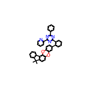 CC1(C)c2ccccc2-c2c1ccc1c2Oc2ccc(-c3ccccc3-c3nc(-c4ccccc4)nc(-c4ccccn4)n3)cc2O1